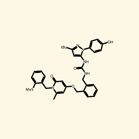 CSc1ccccc1Cn1c(C)cc(OCc2ccccc2CNC(=O)Nc2cc(C(C)(C)C)nn2-c2ccc(O)cc2)cc1=O